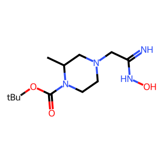 CC1CN(CC(=N)NO)CCN1C(=O)OC(C)(C)C